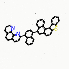 c1cnc2c(c1)ccc1ccc(-c3ccc(-c4cc5ccc6sc7ccccc7c6c5c5ccccc45)c4ccccc34)nc12